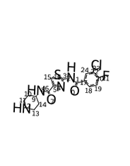 O=C(Nc1nc(C(=O)NC2CCNCC2)cs1)c1ccc(F)c(Cl)c1